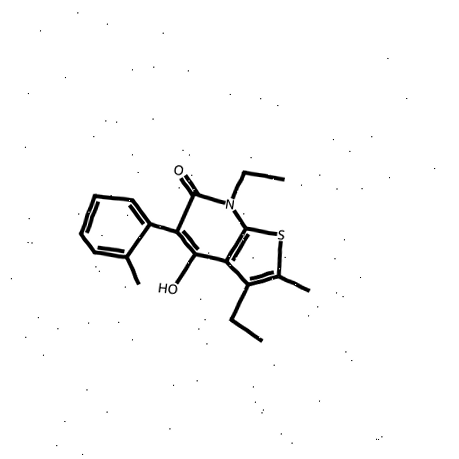 CCc1c(C)sc2c1c(O)c(-c1ccccc1C)c(=O)n2CC